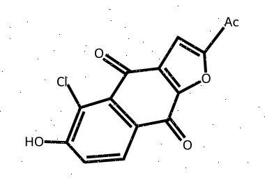 CC(=O)c1cc2c(o1)C(=O)c1ccc(O)c(Cl)c1C2=O